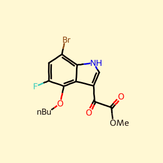 CCCCOc1c(F)cc(Br)c2[nH]cc(C(=O)C(=O)OC)c12